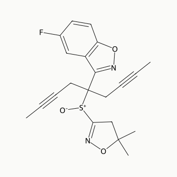 CC#CCC(CC#CC)(c1noc2ccc(F)cc12)[S+]([O-])C1=NOC(C)(C)C1